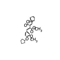 COC(=O)C(=Cc1ccc(OC2CCCC2)c(OC)c1)C(=Cc1ccccc1)C(=O)O